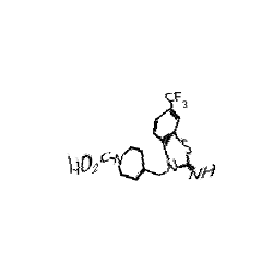 N=c1sc2cc(C(F)(F)F)ccc2n1CC1CCN(C(=O)O)CC1